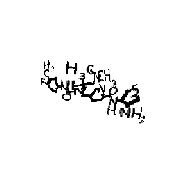 Cc1cc(NC(=O)N(CCN(C)C)Cc2ccc(C(=O)Nc3cscc3N)nc2)ccc1F